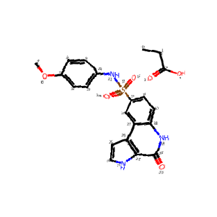 CCC(=O)O.COc1ccc(NS(=O)(=O)c2ccc3[nH]c(=O)c4[nH]ccc4c3c2)cc1